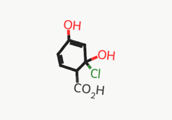 O=C(O)C1C=CC(O)=CC1(O)Cl